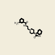 Cc1cccc(C(=O)NCCN2CCC(n3c(=O)[nH]c4ccccc43)CC2)c1